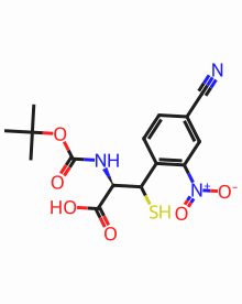 CC(C)(C)OC(=O)N[C@H](C(=O)O)C(S)c1ccc(C#N)cc1[N+](=O)[O-]